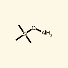 C[Si](C)(C)[O][AlH2]